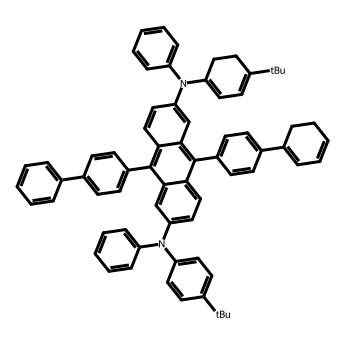 CC(C)(C)C1=CC=C(N(c2ccccc2)c2ccc3c(-c4ccc(-c5ccccc5)cc4)c4cc(N(c5ccccc5)c5ccc(C(C)(C)C)cc5)ccc4c(-c4ccc(C5=CC=CCC5)cc4)c3c2)CC1